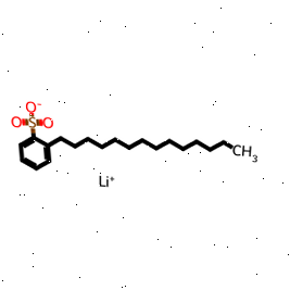 CCCCCCCCCCCCCCc1ccccc1S(=O)(=O)[O-].[Li+]